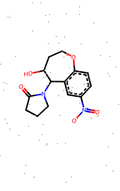 O=C1CCCN1C1c2cc([N+](=O)[O-])ccc2OCCC1O